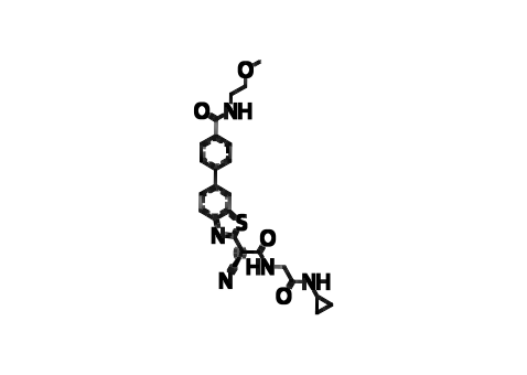 COCCNC(=O)c1ccc(-c2ccc3nc([C@H](C#N)C(=O)NCC(=O)NC4CC4)sc3c2)cc1